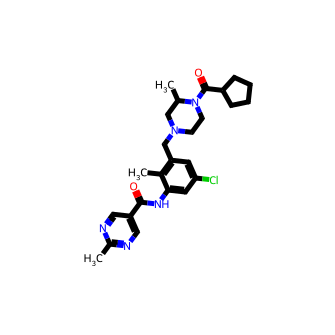 Cc1ncc(C(=O)Nc2cc(Cl)cc(CN3CCN(C(=O)C4CCCC4)C(C)C3)c2C)cn1